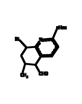 CCCCCCc1ccc2c(n1)C(CC)CC(C)C2C=O